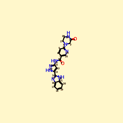 O=C1CN(c2ccc(C(=O)Nc3cc(-c4nc5ccccc5[nH]4)[nH]n3)cn2)CCN1